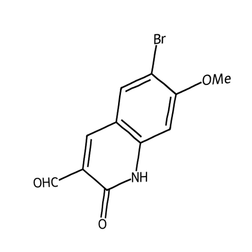 COc1cc2[nH]c(=O)c(C=O)cc2cc1Br